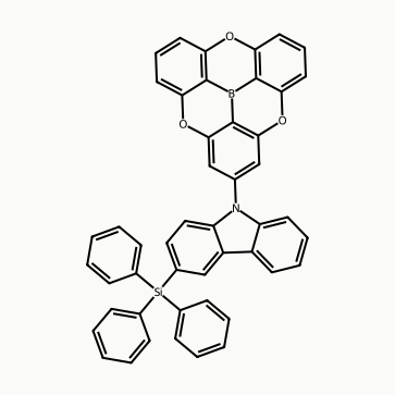 c1ccc([Si](c2ccccc2)(c2ccccc2)c2ccc3c(c2)c2ccccc2n3-c2cc3c4c(c2)Oc2cccc5c2B4c2c(cccc2O3)O5)cc1